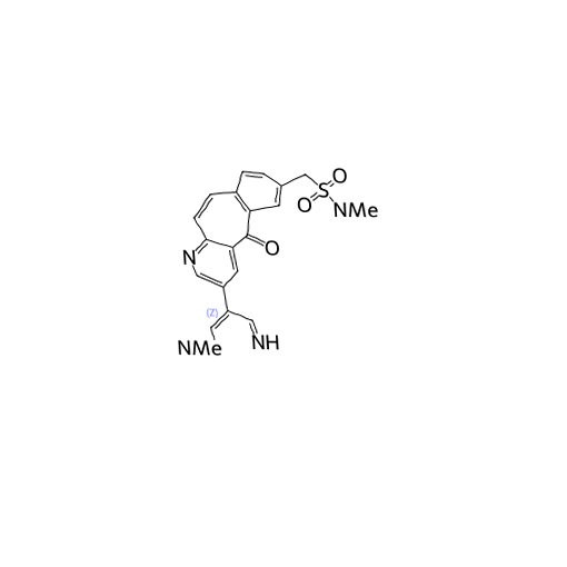 CN/C=C(\C=N)c1cnc2ccc3ccc(CS(=O)(=O)NC)cc3c(=O)c2c1